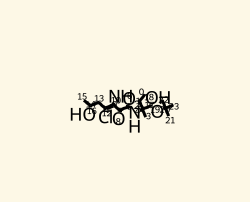 CCC(C)(NC(=O)C(=O)/C(N)=C(\Cl)CC(C)O)C(O)OC(C)(C)C